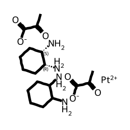 CC(=O)C(=O)[O-].CC(=O)C(=O)[O-].NC1CCCCC1N.N[C@@H]1CCCC[C@@H]1N.[Pt+2]